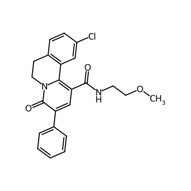 COCCNC(=O)c1cc(-c2ccccc2)c(=O)n2c1-c1cc(Cl)ccc1CC2